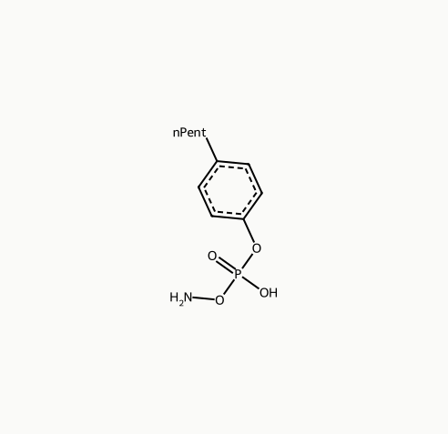 CCCCCc1ccc(OP(=O)(O)ON)cc1